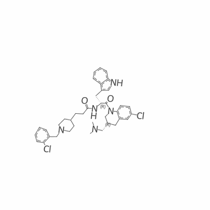 CN(C)C[C@H]1Cc2cc(Cl)ccc2N(C(=O)[C@@H](Cc2c[nH]c3ccccc23)NC(=O)CCC2CCN(Cc3ccccc3Cl)CC2)C1